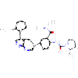 COc1ccccc1-c1c[nH]c2ncc(-c3ccc(NC(=O)N4CCC[C@H]4C)c(C(=O)N(C)C)c3)cc12